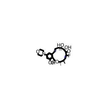 C[C@@H]1/C=C(/F)C(=O)[C@@H](O)[C@@H](O)C/C=C/c2cc(N3CCOCC3)cc(O)c2C(=O)O[C@H]1C